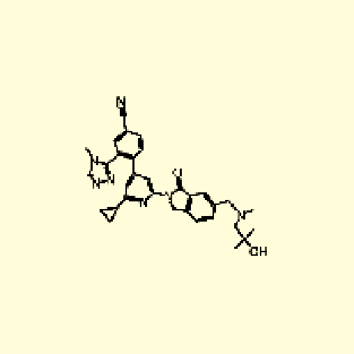 CN(Cc1ccc2c(c1)C(=O)N(c1cc(-c3ccc(C#N)cc3-c3nncn3C)cc(C3CC3)n1)C2)CC(C)(C)O